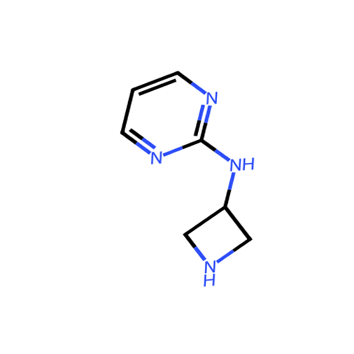 c1cnc(NC2CNC2)nc1